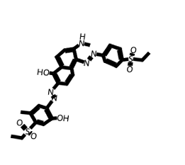 CCS(=O)(=O)c1ccc(/N=N/c2c(NC)ccc3c(O)c(/N=N/c4cc(C)c(S(=O)(=O)CC)cc4O)ccc23)cc1